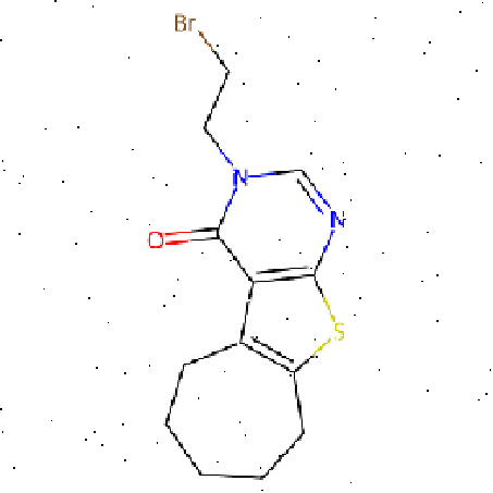 O=c1c2c3c(sc2ncn1CCBr)CCCCC3